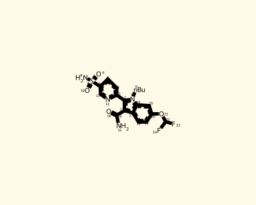 CCCCn1c(-c2ccc(S(N)(=O)=O)cn2)c(C(N)=O)c2ccc(OC(F)F)cc21